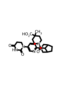 CC1(C(=O)O)CCN(C(=O)C2C3CCC2CN(c2ccc(N4CCC(=O)NC4=O)cn2)C3)CC1